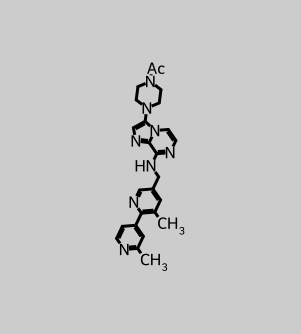 CC(=O)N1CCN(c2cnc3c(NCc4cnc(-c5ccnc(C)c5)c(C)c4)nccn23)CC1